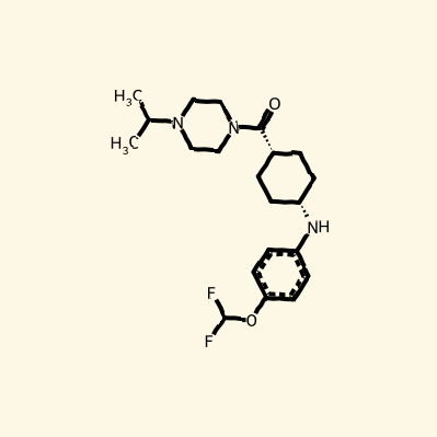 CC(C)N1CCN(C(=O)[C@H]2CC[C@@H](Nc3ccc(OC(F)F)cc3)CC2)CC1